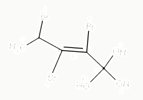 CC(Br)/C(Br)=C(\Br)C(O)(O)O